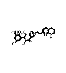 CCN(C(=O)c1cnn(CCc2ccc3c(n2)NCCC3)c1)C(CC(=O)O)c1cc(Cl)cc(Cl)c1